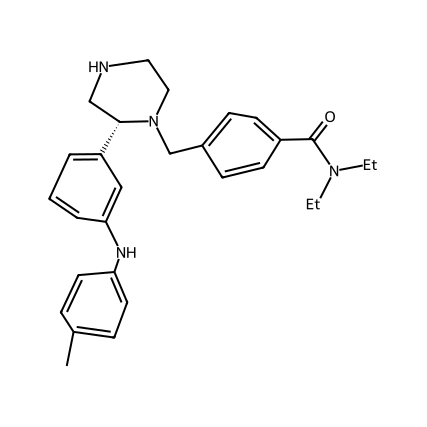 CCN(CC)C(=O)c1ccc(CN2CCNC[C@H]2c2cccc(Nc3ccc(C)cc3)c2)cc1